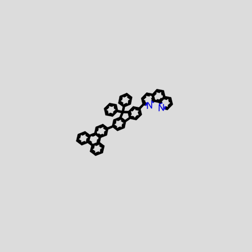 c1ccc(C2(c3ccccc3)c3cc(-c4ccc5c6ccccc6c6ccccc6c5c4)ccc3-c3ccc(-c4ccc5ccc6cccnc6c5n4)cc32)cc1